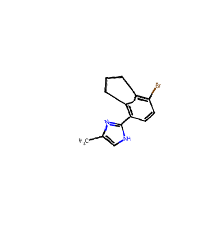 FC(F)(F)c1c[nH]c(-c2ccc(Br)c3c2CCC3)n1